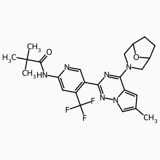 Cc1cc2c(N3CC4CCC(C3)O4)nc(-c3cnc(NC(=O)C(C)(C)C)cc3C(F)(F)F)nn2c1